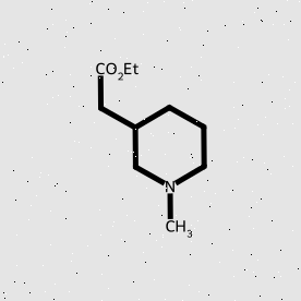 CCOC(=O)CC1CCCN(C)C1